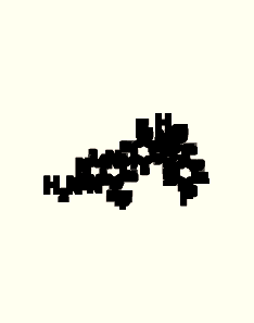 Nc1ncc2nc(-c3ccc(NS(=O)(=O)Cc4ccc(F)cc4)c(F)c3)cc(CF)c2n1